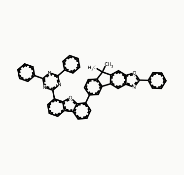 CC1(C)c2ccc(-c3cccc4c3oc3c(-c5nc(-c6ccccc6)nc(-c6ccccc6)n5)cccc34)cc2-c2cc3nc(-c4ccccc4)oc3cc21